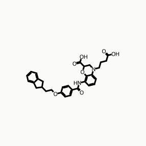 O=C(O)CCCN1CC(C(=O)O)Oc2c(NC(=O)c3ccc(OCCC4Cc5ccccc5C4)cc3)cccc21